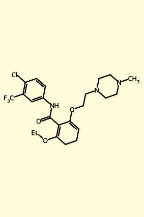 CCOC1=C(C(=O)Nc2ccc(Cl)c(C(F)(F)F)c2)C(OCCN2CCN(C)CC2)=CCC1